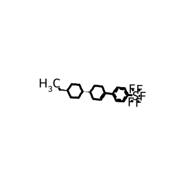 CC[C@H]1CC[C@H](C2CC=C(c3ccc(S(F)(F)(F)(F)F)cc3)CC2)CC1